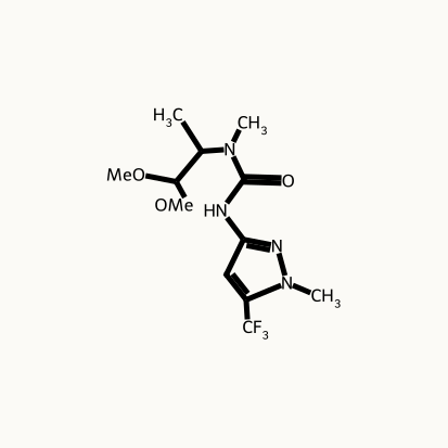 COC(OC)C(C)N(C)C(=O)Nc1cc(C(F)(F)F)n(C)n1